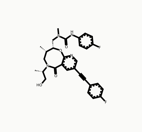 C[C@H]1CN([C@@H](C)CO)C(=O)c2cc(C#Cc3ccc(F)cc3)cnc2O[C@H]1CN(C)C(=O)Nc1ccc(F)cc1